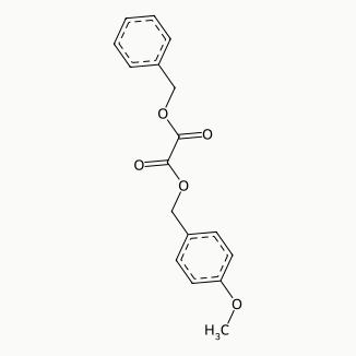 COc1ccc(COC(=O)C(=O)OCc2ccccc2)cc1